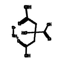 N[O].O=C(O)CC(O)(CC(=O)O)C(=O)O